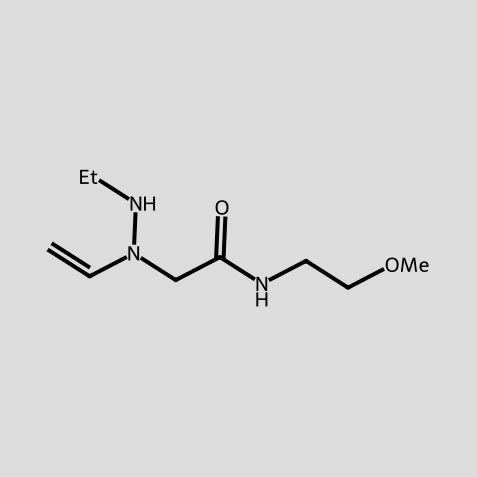 C=CN(CC(=O)NCCOC)NCC